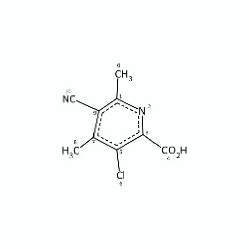 Cc1nc(C(=O)O)c(Cl)c(C)c1C#N